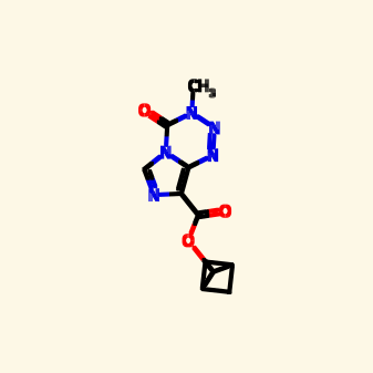 Cn1nnc2c(C(=O)OC3C4CC3C4)ncn2c1=O